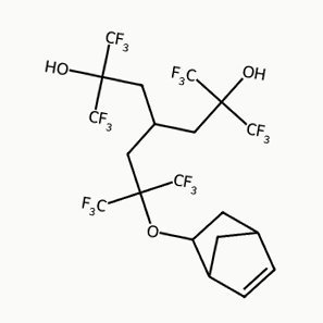 OC(CC(CC(O)(C(F)(F)F)C(F)(F)F)CC(OC1CC2C=CC1C2)(C(F)(F)F)C(F)(F)F)(C(F)(F)F)C(F)(F)F